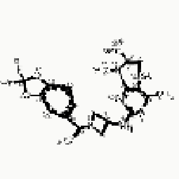 Cc1nc(NC2CN(C(=O)c3ccc4c(c3)OC(F)(F)O4)C2)nc2c1NC[C@H](C(C)C)N2C